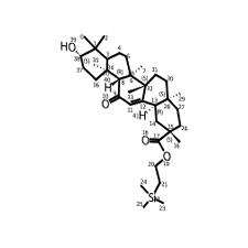 CC1(C)C2CC[C@]3(C)[C@H](C(=O)C=C4[C@@H]5C[C@@](C)(C(=O)OCC[Si](C)(C)C)CC[C@]5(C)CC[C@]43C)[C@@]2(C)CC[C@@H]1O